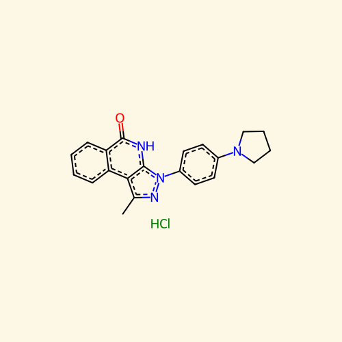 Cc1nn(-c2ccc(N3CCCC3)cc2)c2[nH]c(=O)c3ccccc3c12.Cl